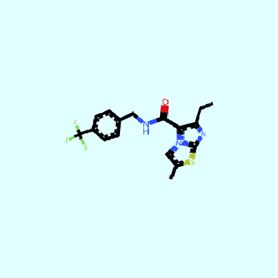 CCc1nc2sc(C)cn2c1C(=O)NCc1ccc(C(F)(F)F)cc1